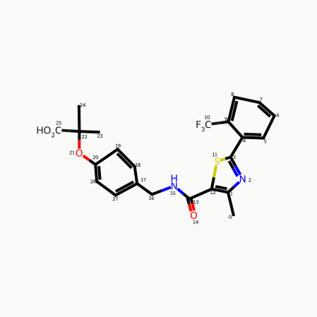 Cc1nc(-c2ccccc2C(F)(F)F)sc1C(=O)NCc1ccc(OC(C)(C)C(=O)O)cc1